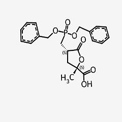 C[C@@]1(C(=O)O)C[C@H](CP(=O)(OCc2ccccc2)OCc2ccccc2)C(=O)O1